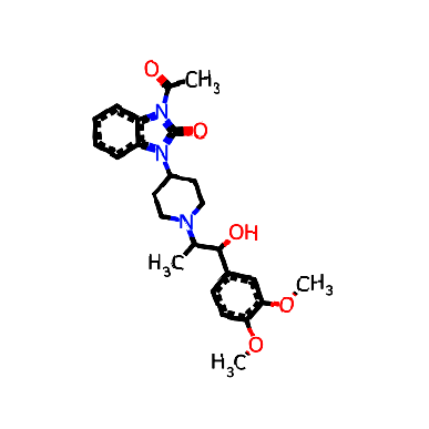 COc1ccc(C(O)C(C)N2CCC(n3c(=O)n(C(C)=O)c4ccccc43)CC2)cc1OC